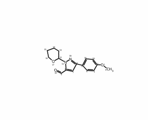 COc1ccc(-c2cc(C=O)n(C3CCCCO3)n2)cc1